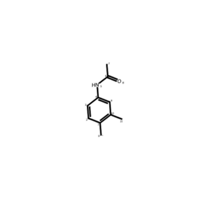 [CH2]c1ccc(NC(C)=O)cc1C